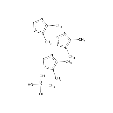 C[PH](O)(O)O.Cc1nccn1C.Cc1nccn1C.Cc1nccn1C